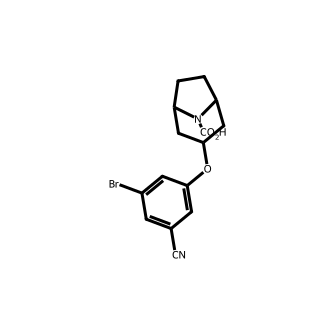 N#Cc1cc(Br)cc(OC2CC3CCC(C2)N3C(=O)O)c1